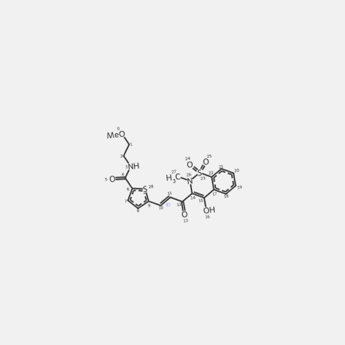 COCCNC(=O)c1ccc(/C=C/C(=O)C2=C(O)c3ccccc3S(=O)(=O)N2C)s1